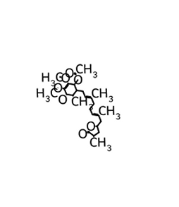 COC1=C(OC)C(OC(C)=O)C(C/C=C(\C)CC/C=C(\C)CC2CC(C)C(=O)O2)C(C)C1=O